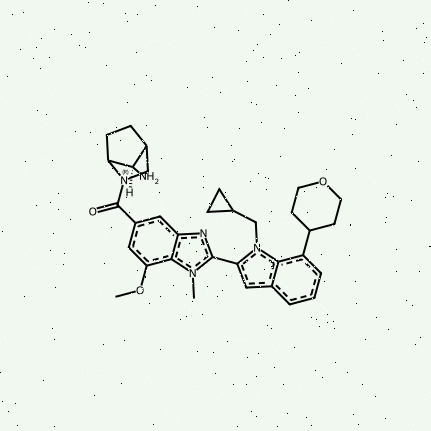 COc1cc(C(=O)N2CC3CCC2[C@@H]3N)cc2nc(-c3cc4cccc(C5CCOCC5)c4n3CC3CC3)n(C)c12